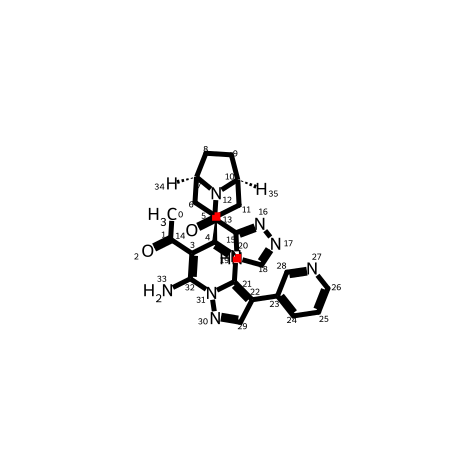 CC(=O)c1c([C@H]2C[C@H]3CC[C@@H](C2)N3C(=O)c2nnc[nH]2)nc2c(-c3cccnc3)cnn2c1N